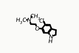 CN(C)CCOc1cc2c(cc1Cl)CCN2